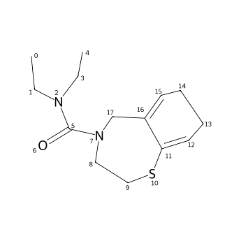 CCN(CC)C(=O)N1CCSC2=CCCC=C2C1